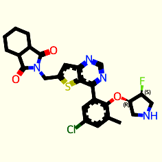 Cc1cc(Cl)cc(-c2ncnc3cc(CN4C(=O)C5CCCCC5C4=O)sc23)c1O[C@@H]1CNC[C@@H]1F